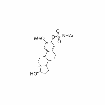 COc1cc2c(cc1OS(=O)(=O)NC(C)=O)CCC1C2CC[C@@]2(C)C1CC[C@H]2O